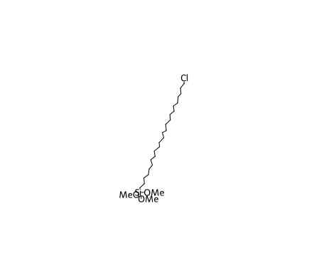 CO[Si](CCCCCCCCCCCCCCCCCCCCCCCCCl)(OC)OC